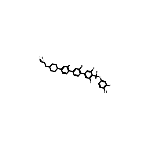 C=CCCC1CCC(c2ccc(-c3ccc(-c4cc(F)c(C(F)(F)Oc5ccc(Cl)c(F)c5)c(F)c4)c(F)c3)c(F)c2)CC1